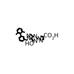 Cc1cccc(C)c1-c1cccc(Cn2ncc3nc(-n4cc(C(=O)O)cn4)nc(O)c32)c1